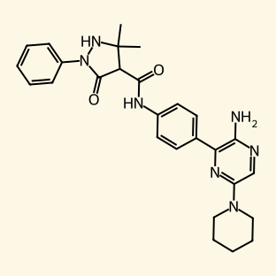 CC1(C)NN(c2ccccc2)C(=O)C1C(=O)Nc1ccc(-c2nc(N3CCCCC3)cnc2N)cc1